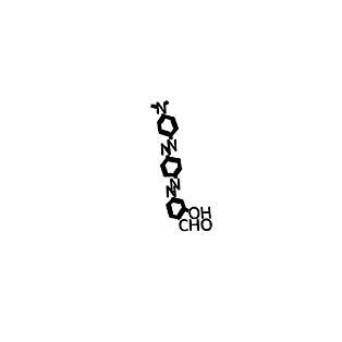 CN(C)c1ccc(N=Nc2ccc(N=Nc3ccc(C=O)c(O)c3)cc2)cc1